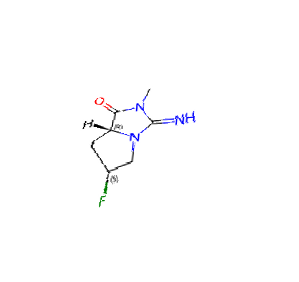 CN1C(=N)N2C[C@@H](F)C[C@@H]2C1=O